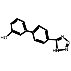 Oc1cccc(-c2ccc(-c3nnn[nH]3)cc2)c1